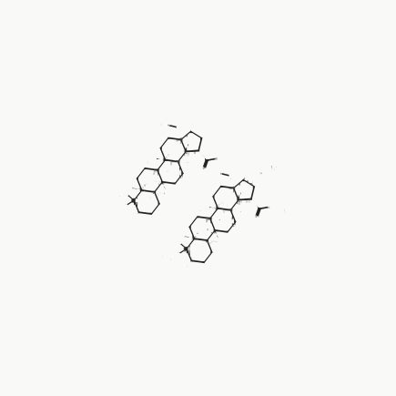 C=C(C)[C@@H]1CC[C@]2(CO)CC[C@]3(C)[C@H](CC[C@@H]4[C@@]5(C)CC[C@H](O)C(C)(C)[C@@H]5CC[C@]43C)[C@@H]12.C=C(C)[C@@H]1CC[C@]2(CO)CC[C@]3(C)[C@H](CC[C@@H]4[C@@]5(C)CC[C@H](O)C(C)(C)[C@@H]5CC[C@]43C)[C@@H]12.COC